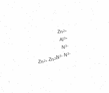 [Al+3].[N-3].[N-3].[N-3].[Zn+2].[Zn+2].[Zn+2]